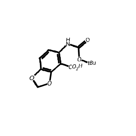 CC(C)(C)OC(=O)Nc1ccc2c(c1C(=O)O)OCO2